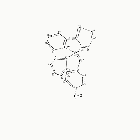 O=Cc1ccc(N=P(c2ccccc2)(c2ccccc2)c2ccccc2)cc1